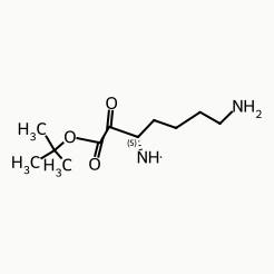 CC(C)(C)OC(=O)C(=O)[C@@H]([NH])CCCCN